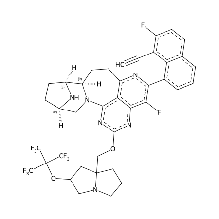 C#Cc1c(F)ccc2cccc(-c3nc4c5c(nc(OCC67CCCN6CC(OC(C(F)(F)F)(C(F)(F)F)C(F)(F)F)C7)nc5c3F)N3C[C@H]5CC[C@H](N5)[C@H]3CC4)c12